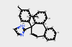 Cc1ccc(C2(c3ncc[nH]3)C=Cc3ccccc3-c3ccccc32)c(C)c1